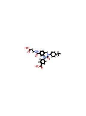 CC(C)(C)C1CCC(N(Cc2ccc(C(=O)NCCC(=O)O)cc2)C(=O)Nc2ccc(C(=O)O)cc2)CC1